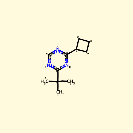 CC(C)(C)c1n[c]nc(C2CCC2)n1